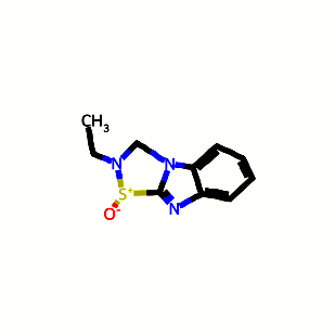 CCN1Cn2c(nc3ccccc32)[S+]1[O-]